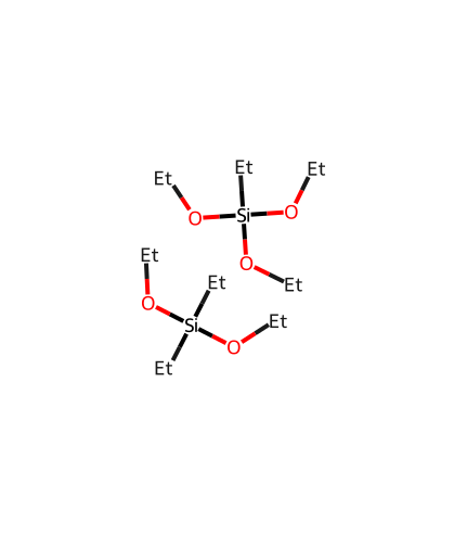 CCO[Si](CC)(CC)OCC.CCO[Si](CC)(OCC)OCC